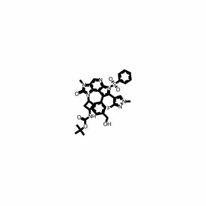 Cn1cc(-c2c(-c3cccc(CO)c3)c3c(ncc4c3n(C3CC(NC(=O)OC(C)(C)C)C3)c(=O)n4C)n2S(=O)(=O)c2ccccc2)c(F)n1